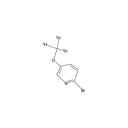 [2H]C([2H])([2H])Oc1ccc(Br)nc1